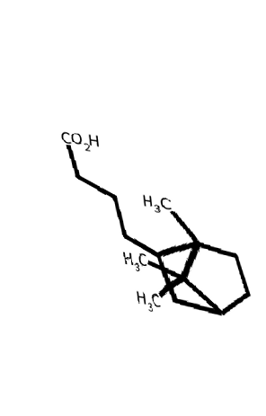 CC1(C)C2CCC1(C)C(CCCC(=O)O)C2